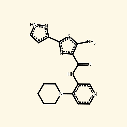 Nc1sc(-c2cc[nH]n2)nc1C(=O)Nc1cnccc1N1CCCCC1